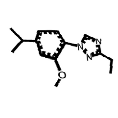 CCc1ncn(-c2ccc(C(C)C)cc2OC)n1